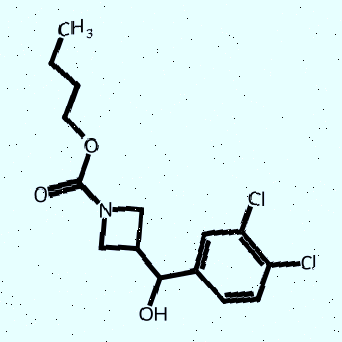 CCCCOC(=O)N1CC(C(O)c2ccc(Cl)c(Cl)c2)C1